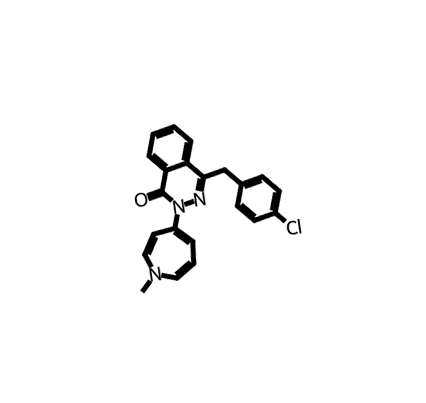 CN1C=CC=C(n2nc(Cc3ccc(Cl)cc3)c3ccccc3c2=O)C=C1